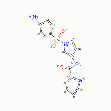 Nc1ccc(S(=O)(=O)n2ccc(NC(=O)c3ccccn3)c2)cc1